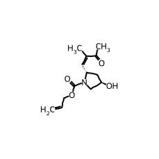 C=CCOC(=O)N1C[C@H](O)C[C@H]1C=C(C)C(C)=O